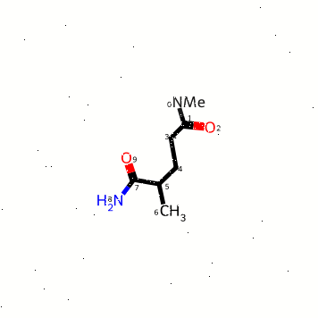 CNC(=O)[CH]CC(C)C(N)=O